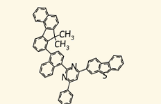 CC1(C)c2ccc3ccccc3c2-c2cccc(-c3ccc(-c4nc(-c5ccccc5)cc(-c5ccc6c(c5)sc5ccccc56)n4)c4ccccc34)c21